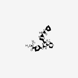 C[C@H]1COCCN1C1=NC(c2cnc(NC(=O)Oc3ccccc3)s2)=NC(Oc2ccc(C(=O)N(C)C)cc2)N1